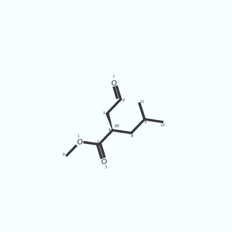 COC(=O)[C@@H](CC=O)CC(C)C